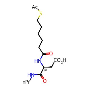 CCCNC(=O)[C@H](CC(=O)O)NC(=O)CCCCCSC(C)=O